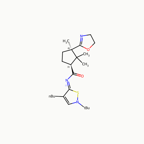 CCCCc1cn(C(C)(C)C)s/c1=N\C(=O)[C@H]1CC[C@@](C)(C2=NCCO2)C1(C)C